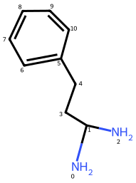 NC(N)CCc1ccccc1